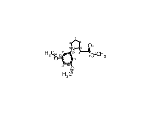 COC(=O)CC1CCCN1c1cc(OC)cc(OC)c1